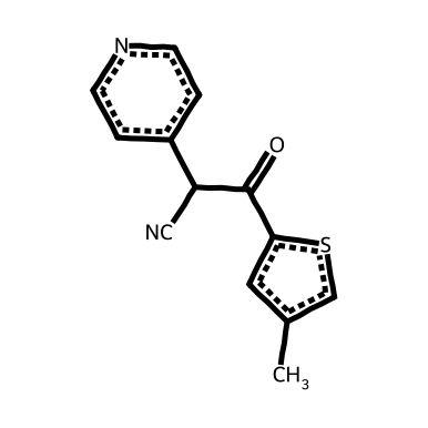 Cc1csc(C(=O)C(C#N)c2ccncc2)c1